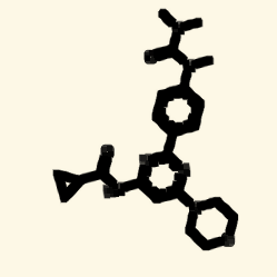 CN(C)C(=O)N(C)c1ccc(-c2nc(NC(=O)C3CC3)cc(N3CCOCC3)n2)cc1